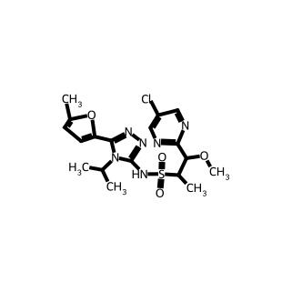 COC(c1ncc(Cl)cn1)C(C)S(=O)(=O)Nc1nnc(-c2ccc(C)o2)n1C(C)C